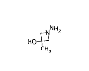 CC1(O)CN(N)C1